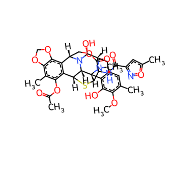 COc1c(C)cc2c(c1O)[C@@H]1[C@@H]3[C@@H]4SCC(NC(=O)c5cc(C)on5)C(=O)OC[C@@H](c5c6c(c(C)c(OC(C)=O)c54)OCO6)N3[C@@H](O)[C@H](C2)N1C